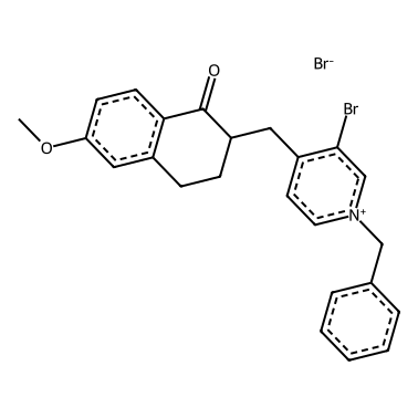 COc1ccc2c(c1)CCC(Cc1cc[n+](Cc3ccccc3)cc1Br)C2=O.[Br-]